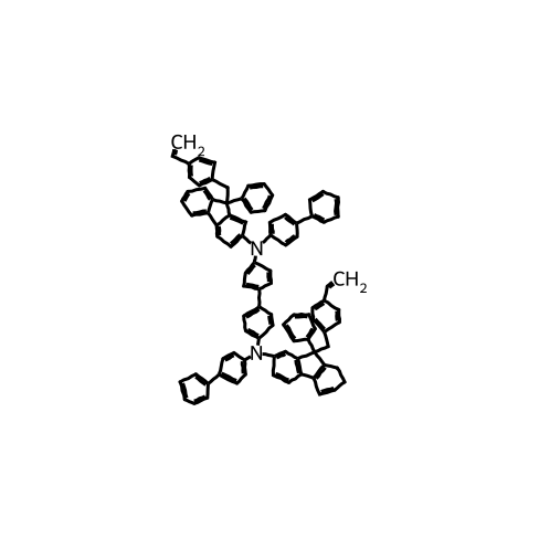 C=Cc1ccc(CC2(c3ccccc3)C3=C(C=CCC3)c3ccc(N(c4ccc(-c5ccccc5)cc4)c4ccc(-c5ccc(N(c6ccc(-c7ccccc7)cc6)c6ccc7c(c6)C(Cc6ccc(C=C)cc6)(c6ccccc6)c6ccccc6-7)cc5)cc4)cc32)cc1